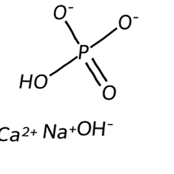 O=P([O-])([O-])O.[Ca+2].[Na+].[OH-]